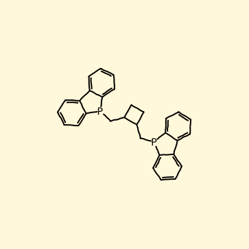 c1ccc2c(c1)c1ccccc1p2CC1CCC1Cp1c2ccccc2c2ccccc21